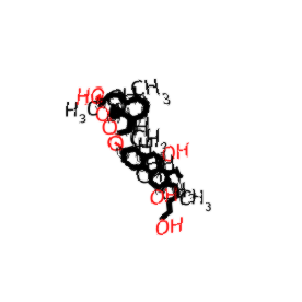 C[C@@H]1CC[C@H]2[C@@H](C)C(O[C@@H]3CC[C@@]4(C)[C@@H](C3)C[C@@H](O)[C@H]3C5CC[C@H]([C@H](C)CCCO)[C@@]5(C)[C@@H](O)C[C@@H]34)O[C@@]34O[C@](C)(O)CCC1[C@@]23[C@H]4C